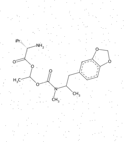 CC(OC(=O)[C@@H](N)C(C)C)OC(=O)N(C)C(C)Cc1ccc2c(c1)OCO2